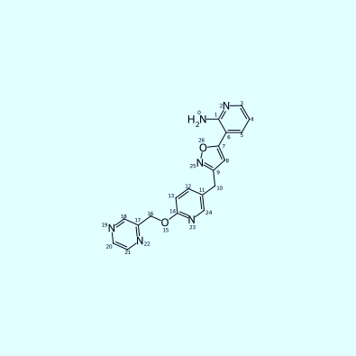 Nc1ncccc1-c1cc(Cc2ccc(OCc3cnccn3)nc2)no1